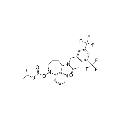 CC(=O)N(Cc1cc(C(F)(F)F)cc(C(F)(F)F)c1)C1CCCN(OC(=O)OC(C)C)c2cccnc21